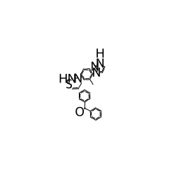 C1=CSNN=C1.Cc1ccccc1.O=C(c1ccccc1)c1ccccc1.c1c[nH]nn1